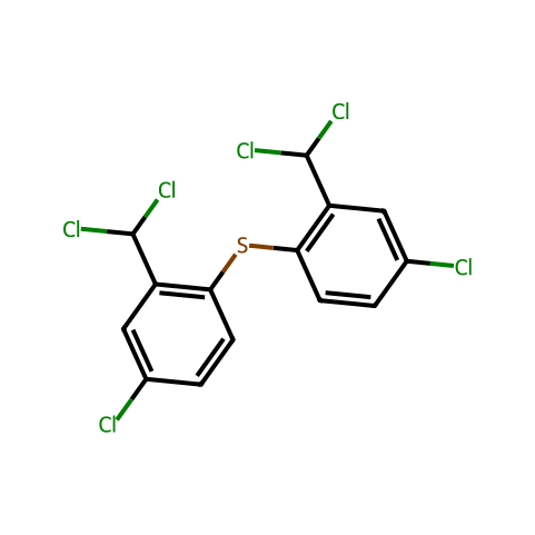 Clc1ccc(Sc2ccc(Cl)cc2C(Cl)Cl)c(C(Cl)Cl)c1